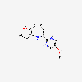 CC(C)C[C@H]1NC(c2ncc(OC(C)C)cn2)CCCC1O